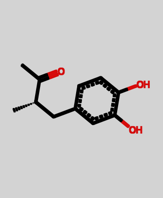 CC(=O)[C@@H](C)Cc1ccc(O)c(O)c1